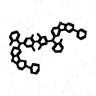 Cc1ccccc1N(c1cc(C)c(-c2c(C)cc(N(c3ccc4oc5ccc(-c6ccccc6)cc5c4c3)c3ccccc3C)cc2C)c(C)c1)c1ccc2oc3ccc(-c4ccccc4)cc3c2c1